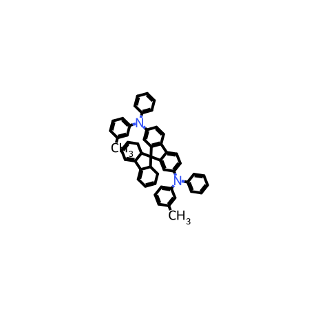 Cc1cccc(N(c2ccccc2)c2ccc3c(c2)C2(c4cc(N(c5ccccc5)c5cccc(C)c5)ccc4-3)C3CC=CC=C3C3=CC=CCC32)c1